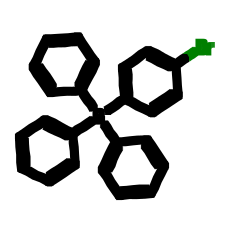 Brc1ccc([B-](c2ccccc2)(c2ccccc2)c2ccccc2)cc1